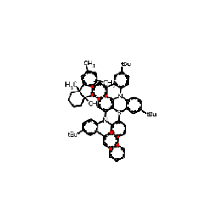 Cc1cc(C)c2c(c1)C1(C)CCCCC1(C)N2c1cc2c3c(c1)N(c1ccc(C(C)(C)C)cc1-c1ccccc1)c1cc(-c4ccccc4)ccc1B3c1cc(C(C)(C)C)ccc1N2c1ccc(C(C)(C)C)cc1-c1ccccc1